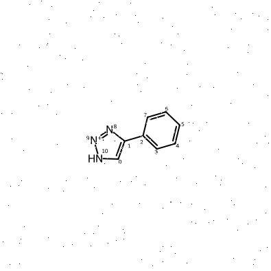 C1=C(c2ccccc2)N=[N+]N1